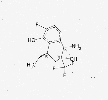 CC[C@@H]1C[C@](O)(C(F)(F)F)[C@@H](N)c2ccc(F)c(O)c21